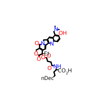 CCCCCCCCCCCCC(NC(=O)CCC(=O)O[C@]1(CC)C(=O)OCc2c1cc1n(c2=O)Cc2cc3c(CN(C)C)c(O)ccc3nc2-1)C(=O)O